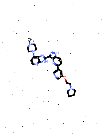 CN1CCN(c2ccnc3[nH]c(-c4n[nH]c5ccc(-c6cncc(OCCN7CCCC7)c6)nc45)nc23)CC1